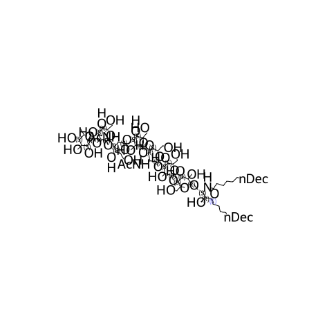 CCCCCCCCCCCCC/C=C/[C@@H](O)[C@H](CO[C@@H]1OC(CO)[C@@H](O[C@@H]2OC(CO)[C@H](O)[C@H](O[C@@H]3OC(CO)[C@@H](O)[C@H](O[C@@H]4OC(CO)[C@H](O)[C@H](O[C@@H]5OC(CO)[C@@H](O)[C@H](O[C@@H]6OC(CO)[C@H](O)[C@H](O)C6O[C@H]6OC(C)[C@@H](O)C(O)[C@@H]6O)C5NC(C)=O)C4O)C3NC(C)=O)C2O)[C@H](O)C1O)NC(=O)CCCCCCCCCCCCCCC